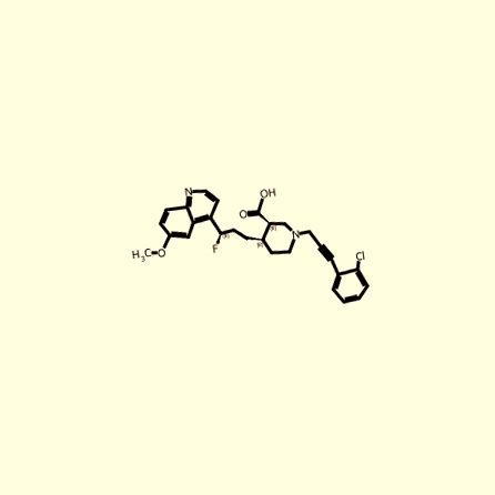 COc1ccc2nccc([C@H](F)CC[C@@H]3CCN(CC#Cc4ccccc4Cl)C[C@@H]3C(=O)O)c2c1